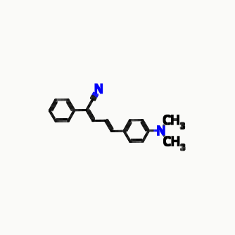 CN(C)c1ccc(C=CC=C(C#N)c2ccccc2)cc1